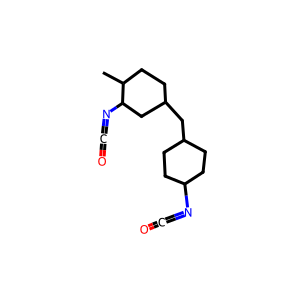 CC1CCC(CC2CCC(N=C=O)CC2)CC1N=C=O